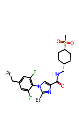 CCc1nc(C(=O)NC[C@H]2CC[C@H](S(C)(=O)=O)CC2)cn1-c1c(F)cc(CC(C)C)cc1F